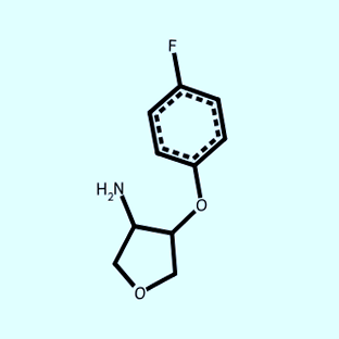 NC1COCC1Oc1ccc(F)cc1